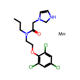 CCCN(CCOc1c(Cl)cc(Cl)cc1Cl)C(=O)CN1C=CNC1.[Mn]